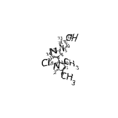 Cc1cnc(-c2cc(N3CCC(O)CC3)ncc2Cl)c(C)c1